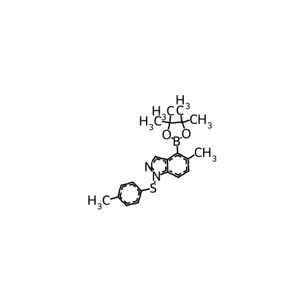 Cc1ccc(Sn2ncc3c(B4OC(C)(C)C(C)(C)O4)c(C)ccc32)cc1